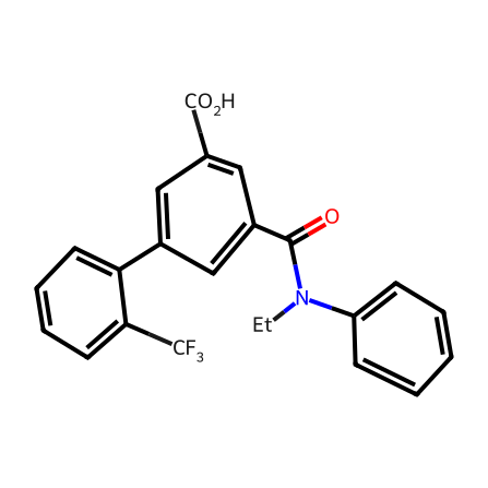 CCN(C(=O)c1cc(C(=O)O)cc(-c2ccccc2C(F)(F)F)c1)c1ccccc1